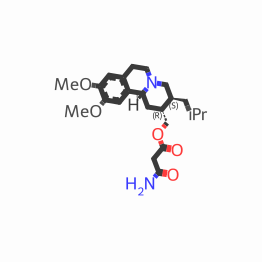 COc1cc2c(cc1OC)[C@H]1C[C@@H](COC(=O)CC(N)=O)[C@H](CC(C)C)CN1CC2